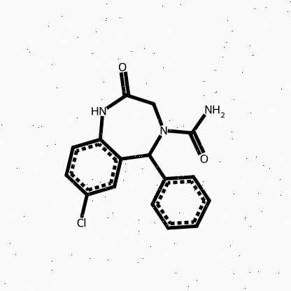 NC(=O)N1CC(=O)Nc2ccc(Cl)cc2C1c1ccccc1